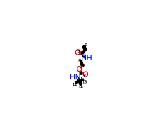 C=CC(=O)NCCOC(=O)NC(C)(C)C